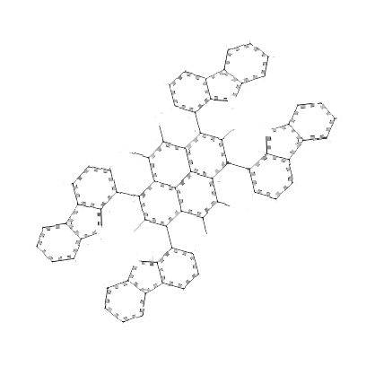 [2H]c1c(-c2cccc3c2oc2ccccc23)c2c([2H])c([2H])c3c(-c4cccc5c4oc4ccccc45)c([2H])c(-c4cccc5c4oc4ccccc45)c4c([2H])c([2H])c(c1-c1cccc5c1oc1ccccc15)c2c34